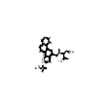 CC(O)C(CO)NCc1cc2c3ccccc3ccc2c2occc12.CS(=O)(=O)O